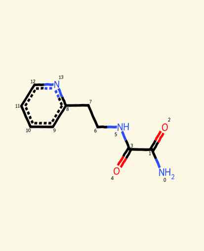 NC(=O)C(=O)NCCc1ccccn1